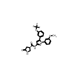 COc1cccc(-n2nc(NC(=O)[C@H]3CNC(=O)C3)cc2-c2cccc(OC(F)(F)F)c2)c1